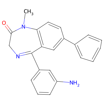 CN1C(=O)CN=C(c2cccc(N)c2)c2cc(-c3ccccc3)ccc21